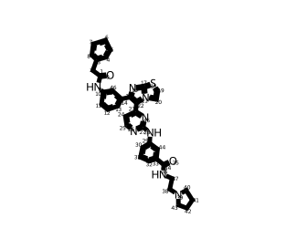 O=C(Cc1ccccc1)Nc1cccc(-c2nc3sccn3c2-c2ccnc(Nc3cccc(C(=O)NCCN4CCCC4)c3)n2)c1